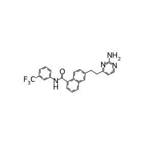 Nc1nccc(CCc2ccc3c(C(=O)Nc4cccc(C(F)(F)F)c4)cccc3c2)n1